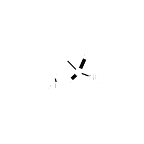 CS(N)(=O)=O.O=C(O)O